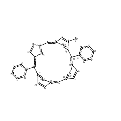 BrC1=CC2=CC3=NC(=C(c4ccccc4)C4=NC(=CC5=NC(=C(c6ccccc6)C1=N2)C=C5)C=C4)C=C3